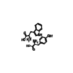 N[C@@H](Cc1ccc(O)cc1)C(=O)O.N[C@H](Cc1c[nH]c2ccccc12)C(=O)O